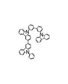 C1=CC2c3ccccc3N(c3cccc(-c4cccc(-n5c6ccccc6c6cc(-c7ccc8c(c7)c7ccccc7n8-c7ccccc7)ccc65)c4)c3)C2C=C1